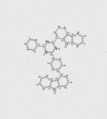 C1=C(c2nc(-c3ccccc3)nc(-c3ccc(-c4cccc5oc6ccccc6c45)cc3)n2)c2oc3ccccc3c2CC1